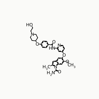 COc1cc2c(cc1Oc1ccnc(NC(=O)c3ccc(OC4CCN(CCO)CC4)cc3)c1)cc(C)n2C(N)=O